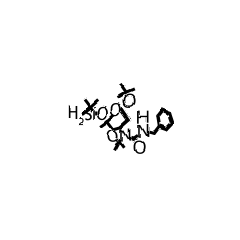 CC(C)(C)OC(=O)CC1C(C(C)(C)O[SiH2]C(C)(C)C)OC(C)(C)N1C(=O)NCc1ccccc1